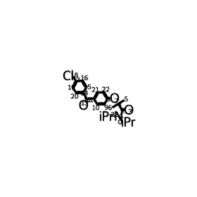 CC(C)N(C(=O)C(C)(C)Oc1ccc(C(=O)c2ccc(Cl)cc2)cc1)C(C)C